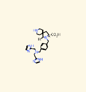 CCC1N(Cc2ccc(CN(Cc3ncc[nH]3)Cc3ncc[nH]3)cc2)[C@@H](C(=O)O)CC12CCNCC2